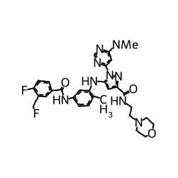 CNc1cc(-n2nc(C(=O)NCCN3CCOCC3)cc2Nc2cc(NC(=O)c3ccc(F)c(CF)c3)ccc2C)ncn1